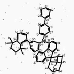 CC1(C)CCC(C)(C)c2c(-c3cccc(N(c4ccc(-c5ccccc5)cc4)c4cccc5c4-c4ccccc4C54C5CC6CC7CC4C75C6)c3)cccc21